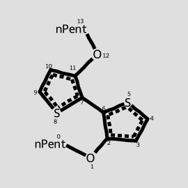 CCCCCOc1ccsc1-c1sccc1OCCCCC